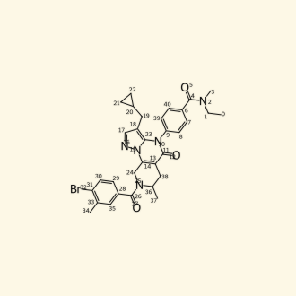 CCN(C)C(=O)c1ccc(-n2c(=O)c3c(n4ncc(CC5CC5)c24)CN(C(=O)c2ccc(Br)c(C)c2)C(C)C3)cc1